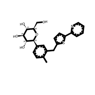 Cc1ccc([C@@H]2O[C@H](CO)[C@@H](O)[C@H](O)[C@H]2O)cc1Cc1ccc(-c2ccccn2)s1